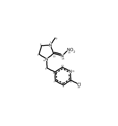 CN1CCN(Cc2ccc(Cl)nc2)C1=N[N+](=O)[O-]